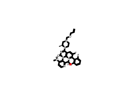 C=CCOCN1CCN(c2nc(=O)n(-c3c([S+](C)[O-])ccnc3C(C)C)c3nc(-c4c(O)cccc4F)c(F)cc23)[C@@H](C)C1